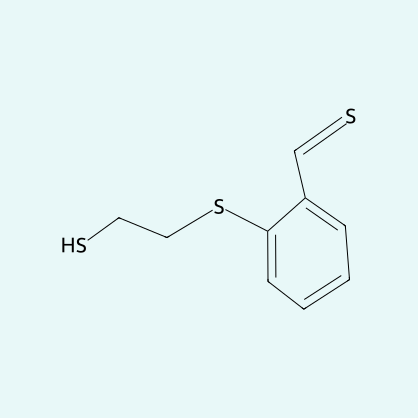 S=Cc1ccccc1SCCS